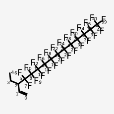 C=CC(CC)C(F)(F)C(F)(F)C(F)(F)C(F)(F)C(F)(F)C(F)(F)C(F)(F)C(F)(F)C(F)(F)C(F)(F)C(F)(F)C(F)(F)F